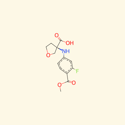 COC(=O)c1ccc(N[C@]2(C(=O)O)CCOC2)cc1F